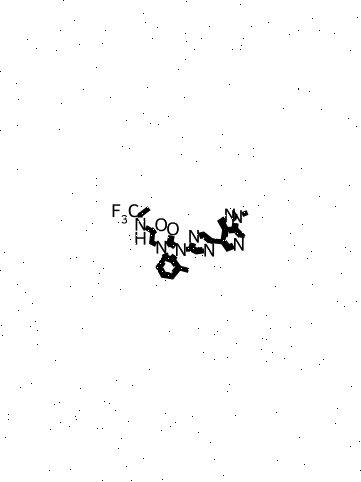 Cc1cccc2c1n(-c1cnc(-c3cncc4c3cnn4C)cn1)c(=O)n2CC(=O)N[C@H](C)C(F)(F)F